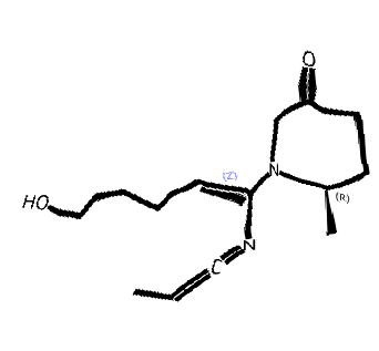 CC=C=N/C(=C\CCCO)N1CC(=O)CC[C@H]1C